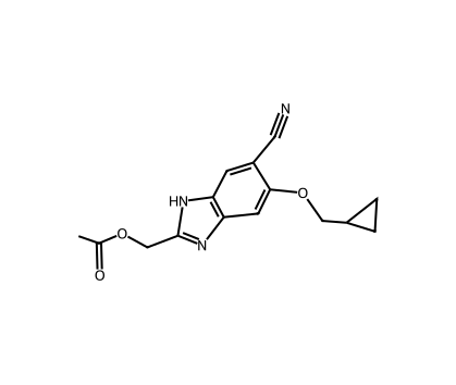 CC(=O)OCc1nc2cc(OCC3CC3)c(C#N)cc2[nH]1